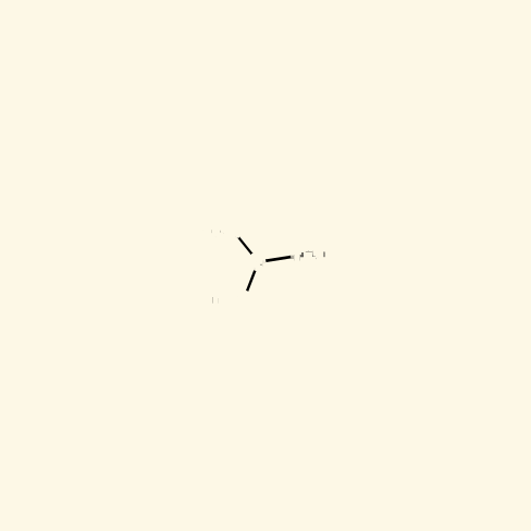 CCCCCCCC[Si](CCCCCCCC)CCCCCCCC.Cl